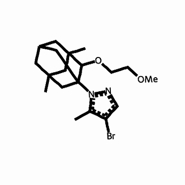 COCCOC1C2(C)CC3CC(C)(C2)CC1(n1ncc(Br)c1C)C3